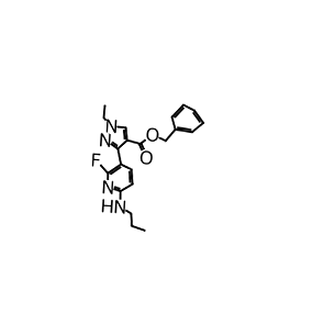 CCCNc1ccc(-c2nn(CC)cc2C(=O)OCc2ccccc2)c(F)n1